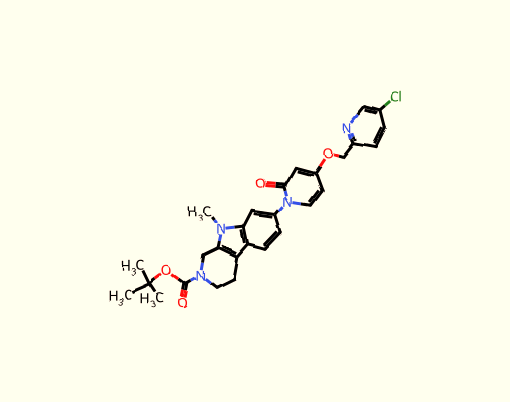 Cn1c2c(c3ccc(-n4ccc(OCc5ccc(Cl)cn5)cc4=O)cc31)CCN(C(=O)OC(C)(C)C)C2